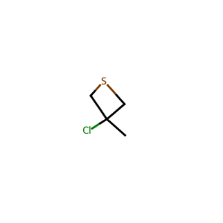 CC1(Cl)CSC1